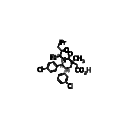 CC[C@@H](C(=O)CC(C)C)N1C(=O)[C@@](C)(CC(=O)O)C[C@H](c2cccc(Cl)c2)[C@H]1c1ccc(Cl)cc1